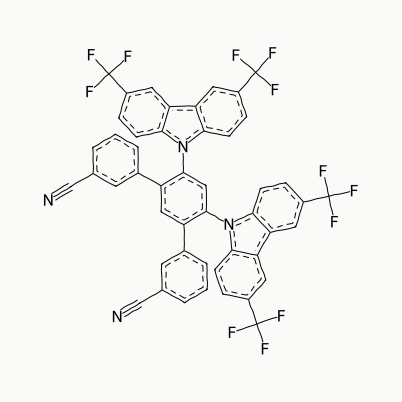 N#Cc1cccc(-c2cc(-c3cccc(C#N)c3)c(-n3c4ccc(C(F)(F)F)cc4c4cc(C(F)(F)F)ccc43)cc2-n2c3ccc(C(F)(F)F)cc3c3cc(C(F)(F)F)ccc32)c1